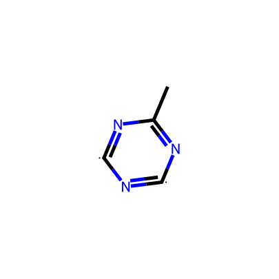 Cc1n[c]n[c]n1